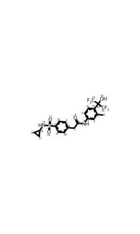 Cc1cc(NC(=O)Cc2ccc(S(=O)(=O)NC3CC3)cc2)ccc1C(O)(C(F)(F)F)C(F)(F)F